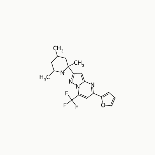 CC1CC(C)[N]C(C)(c2cc3nc(-c4ccco4)cc(C(F)(F)F)n3n2)C1